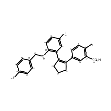 Cc1ccc(C2=C(c3cc(Cl)ccc3OCc3ccc(F)cc3)CCC2)cc1C(=O)O